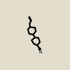 C=CCC1CCC(C2CCC(C#N)CC2)CC1